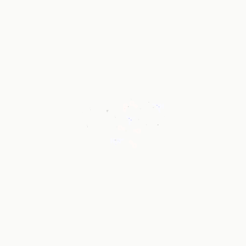 NC(=O)S(=O)(=O)N(C(=O)[CH]CC1CCCC1)[C@H]1CCCNCC1=O